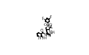 CC1(C)c2[nH]nc(NC(=O)c3cccnc3F)c2CN1S(=O)(=O)c1cc(F)cc(F)c1